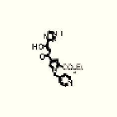 CCOC(=O)c1cc(C(=O)C=C(O)c2nc[nH]n2)cn1Cc1ccncc1